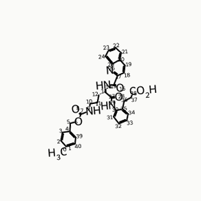 Cc1ccc(COC(=O)NCCC[C@H](NC(=O)c2ccc3ccccc3n2)C(=O)Nc2ccccc2CCC(=O)O)cc1